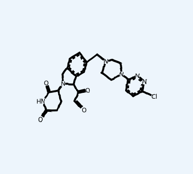 O=CC(=O)C1c2cc(CN3CCN(c4ccc(Cl)nn4)CC3)ccc2CN1C1CCC(=O)NC1=O